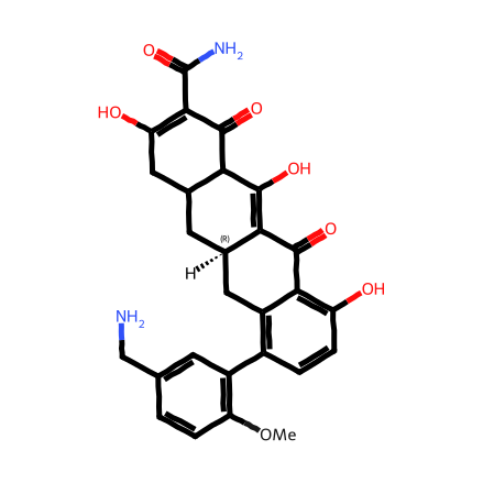 COc1ccc(CN)cc1-c1ccc(O)c2c1C[C@H]1CC3CC(O)=C(C(N)=O)C(=O)C3C(O)=C1C2=O